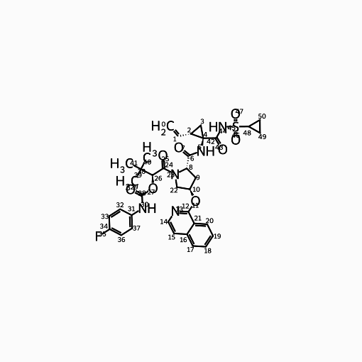 C=C[C@@H]1C[C@]1(NC(=O)[C@@H]1C[C@@H](Oc2nccc3ccccc23)CN1C(=O)[C@@H](OC(=O)Nc1ccc(F)cc1)C(C)(C)C)C(=O)NS(=O)(=O)C1CC1